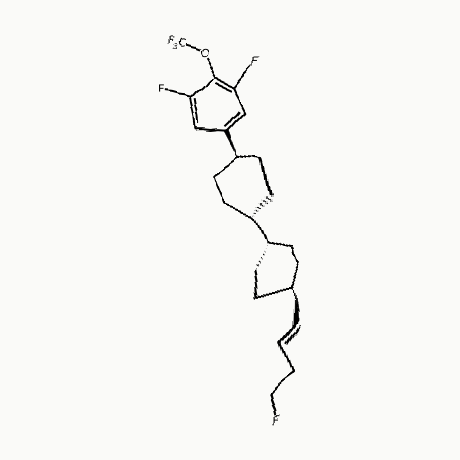 FCCC=C[C@H]1CC[C@H]([C@H]2CC[C@H](c3cc(F)c(OC(F)(F)F)c(F)c3)CC2)CC1